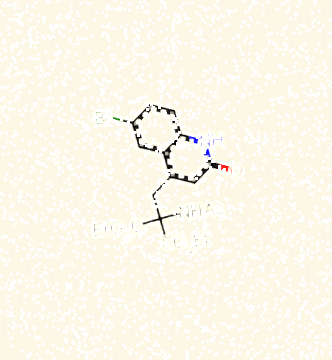 CCOC(=O)C(Cc1cc(=O)[nH]c2ccc(Br)cc12)(NC(C)=O)C(=O)OCC